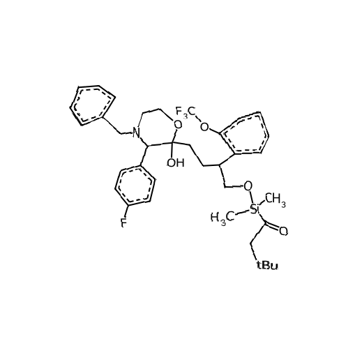 CC(C)(C)CC(=O)[Si](C)(C)OCC(CCC1(O)OCCN(Cc2ccccc2)C1c1ccc(F)cc1)c1ccccc1OC(F)(F)F